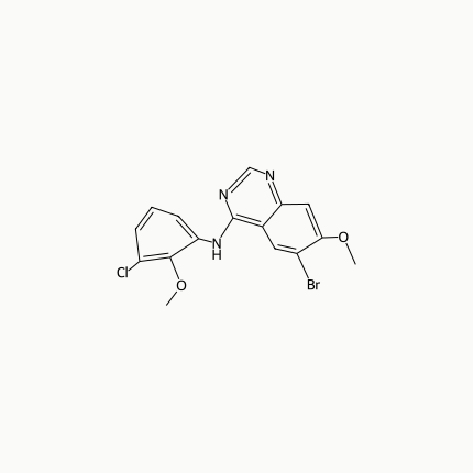 COc1cc2ncnc(Nc3cccc(Cl)c3OC)c2cc1Br